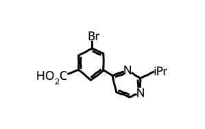 CC(C)c1nccc(-c2cc(Br)cc(C(=O)O)c2)n1